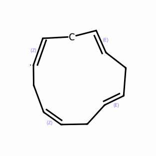 [C]1=C\C/C=C/C/C=C/C/C=C\C/1